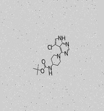 CC(C)(C)OC(=O)NC1CCN(c2ncnc3[nH]cc(Cl)c23)CC1